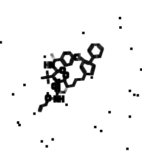 C=CCONC(=O)C[C@@H](CCCc1ccc(-c2ccccc2)c(Cl)c1)C(=O)N[C@H](C(=O)N[C@H](C)c1ccccc1)C(C)(C)C